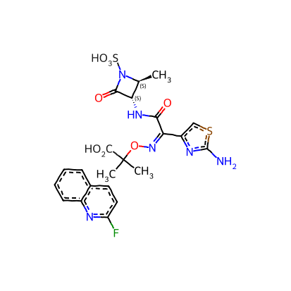 C[C@H]1[C@H](NC(=O)C(=NOC(C)(C)C(=O)O)c2csc(N)n2)C(=O)N1S(=O)(=O)O.Fc1ccc2ccccc2n1